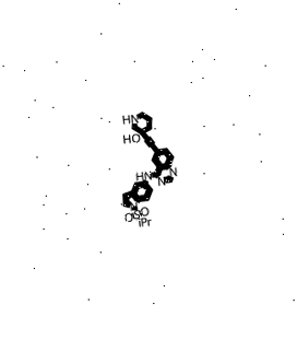 CC(C)S(=O)(=O)n1ccc2cc(Nc3ncnc4ccc(C#CC5(O)CCCNC5)cc34)ccc21